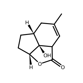 CC1=CC2C(=O)O[C@@H]3CC[C@H](C1)[C@]23O